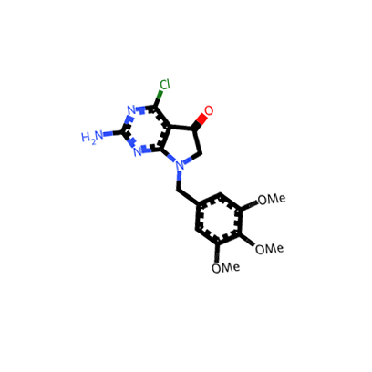 COc1cc(CN2CC(=O)c3c(Cl)nc(N)nc32)cc(OC)c1OC